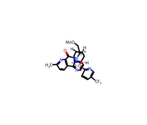 COC[C@@H]1[C@@H]2CC[C@@H]([C@H](Oc3ccc(C(F)(F)F)cn3)C2)N1C(=O)c1nc(C)ccc1-c1ncccn1